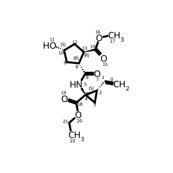 C=C[C@@H]1C[C@]1(NC(=O)[C@@H]1C[C@H](O)C[C@H]1C(=O)OC)C(=O)OCC